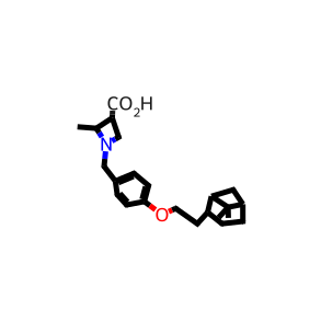 CC1C(C(=O)O)CN1Cc1ccc(OCCC2CCC3CC2C3(C)C)cc1